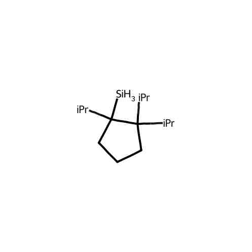 CC(C)C1([SiH3])CCCC1(C(C)C)C(C)C